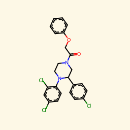 O=C(COc1ccccc1)N1CCN(c2ccc(Cl)cc2Cl)C(c2ccc(Cl)cc2)C1